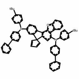 CC(C)(C)c1ccc(N(c2ccc(-c3ccccc3)cc2)c2ccc3c(c2)C2(C=CC=C2)c2cc(N(c4ccc(-c5ccccc5)cc4)c4ccc(C(C)(C)C)cc4)c4c(oc5ccccc54)c2-3)cc1